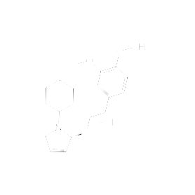 COc1ccc(CCO[C@H]2C=CCN2C2CCCCC2)cc1OC.Cl